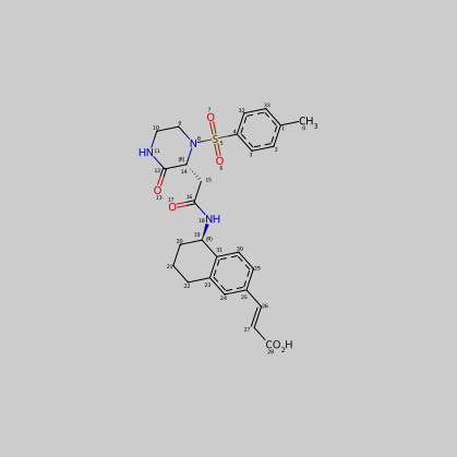 Cc1ccc(S(=O)(=O)N2CCNC(=O)[C@H]2CC(=O)N[C@@H]2CCCc3cc(C=CC(=O)O)ccc32)cc1